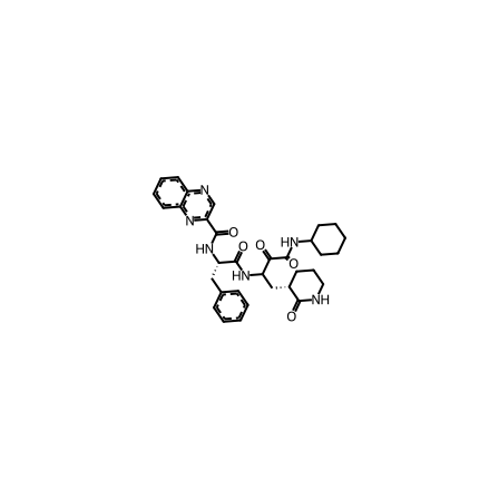 O=C(NC1CCCCC1)C(=O)C(C[C@@H]1CCCNC1=O)NC(=O)[C@H](Cc1ccccc1)NC(=O)c1cnc2ccccc2n1